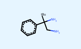 CC(C)(C)C(N)(CN)c1ccccc1